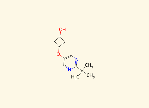 CC(C)(C)c1ncc(OC2CC(O)C2)cn1